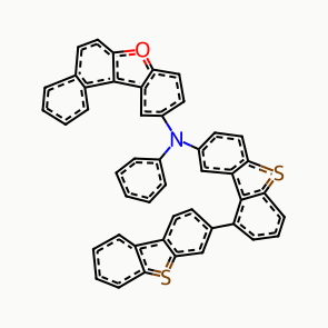 c1ccc(N(c2ccc3sc4cccc(-c5ccc6c(c5)sc5ccccc56)c4c3c2)c2ccc3oc4ccc5ccccc5c4c3c2)cc1